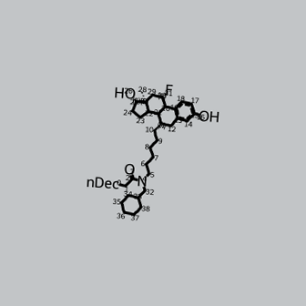 CCCCCCCCCCCC(=O)N(CCCCCC[C@@H]1Cc2cc(O)ccc2C2C1C1CC[C@H](O)[C@@]1(C)C[C@@H]2F)CC1CCCCC1